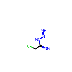 N=NNC(=N)CCl